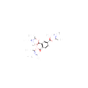 CC(OC(=O)c1ccc(C(=O)OC(C)N(C)C)c(C(=O)OC(C)N(C)C)c1)N(C)C